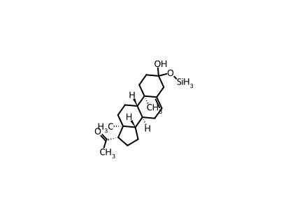 CC(=O)[C@H]1CC[C@H]2[C@@H]3CC=C4CC(O)(O[SiH3])CC[C@]4(C)[C@H]3CC[C@]12C